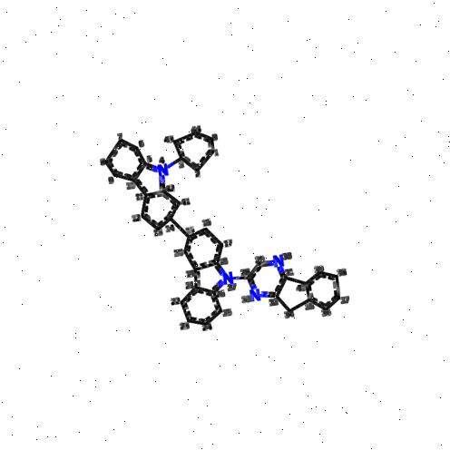 c1ccc(-n2c3ccccc3c3ccc(-c4ccc5c(c4)c4ccccc4n5-c4cnc5c(n4)Cc4ccccc4-5)cc32)cc1